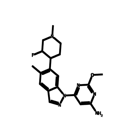 COc1nc(N)cc(-n2ncc3cc(C)c(C4CCN(C)CC4F)cc32)n1